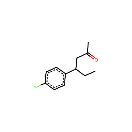 CCC(CC(C)=O)c1ccc(F)cc1